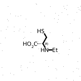 CCN[C@@H](CS)C(=O)O